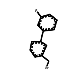 Fc1cccc(-c2cccc(CBr)c2)c1